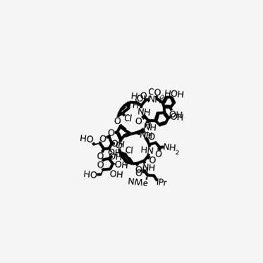 CN[C@H](CC(C)C)C(=O)NC1C(=O)NC(CC(N)=O)C(=O)NC2C(=O)N[C@H]3C(=O)N[C@H](C(=O)NC(C(=O)O)c4cc(O)cc(O)c4-c4cc3ccc4O)[C@H](O)c3ccc(c(Cl)c3)Oc3cc2cc(c3O[C@@H]2O[C@H](CO)C(O[C@@H]3O[C@H](CO)C(O)[C@H](O)C3O)[C@H](O)C2O)Oc2ccc(cc2Cl)C1O